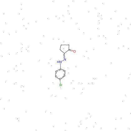 O=C1CCCC1=NNc1ccc(Br)cc1